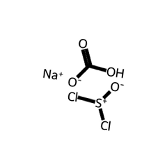 O=C([O-])O.[Na+].[O-][S+](Cl)Cl